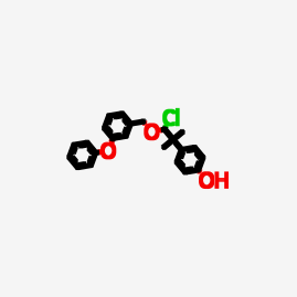 CC(C)(c1ccc(O)cc1)C(Cl)OCc1cccc(Oc2ccccc2)c1